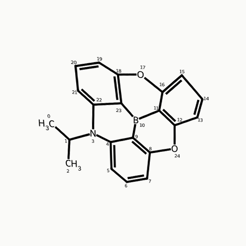 CC(C)N1c2cccc3c2B2c4c(cccc4Oc4cccc1c42)O3